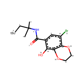 CC(C)(C)CC(C)(C)NC(=O)c1cc(Br)c2c(c1O)OCCO2